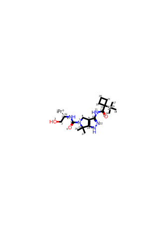 CC(C)[C@@H](CO)NC(=O)N1Cc2c(NC(=O)C3([Si](C)(C)C)CCC3)n[nH]c2C1(C)C